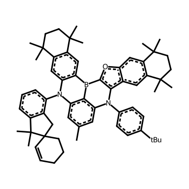 Cc1cc2c3c(c1)N(c1ccc(C(C)(C)C)cc1)c1c(oc4cc5c(cc14)C(C)(C)CCC5(C)C)B3c1cc3c(cc1N2c1cccc2c1CC1(C=CCCC1)C2(C)C)C(C)(C)CCC3(C)C